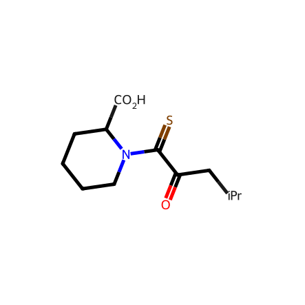 CC(C)CC(=O)C(=S)N1CCCCC1C(=O)O